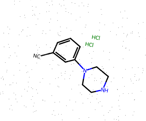 Cl.Cl.N#Cc1cccc(N2CCNCC2)c1